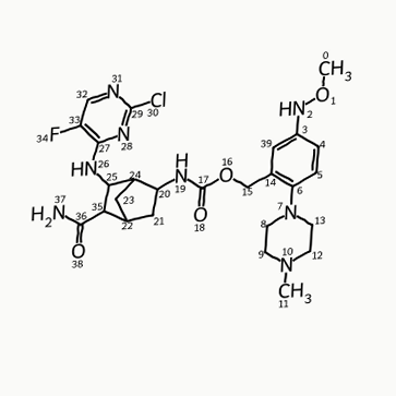 CONc1ccc(N2CCN(C)CC2)c(COC(=O)NC2CC3CC2C(Nc2nc(Cl)ncc2F)C3C(N)=O)c1